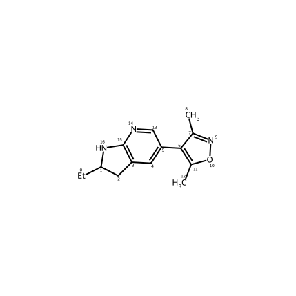 CCC1Cc2cc(-c3c(C)noc3C)cnc2N1